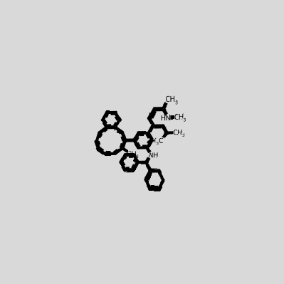 CNC(C)/C=C\C(=C\C(C)C)c1cc(NC(C2=CC=CCC2)c2ccccc2)cc(-c2cc3ccccc3cccccc2C)c1